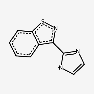 C1=CN=C(c2nsc3ccccc23)[N]1